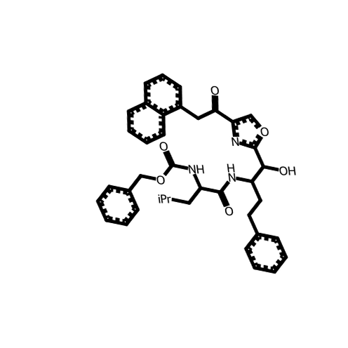 CC(C)CC(NC(=O)OCc1ccccc1)C(=O)NC(CCc1ccccc1)C(O)c1nc(C(=O)Cc2cccc3ccccc23)co1